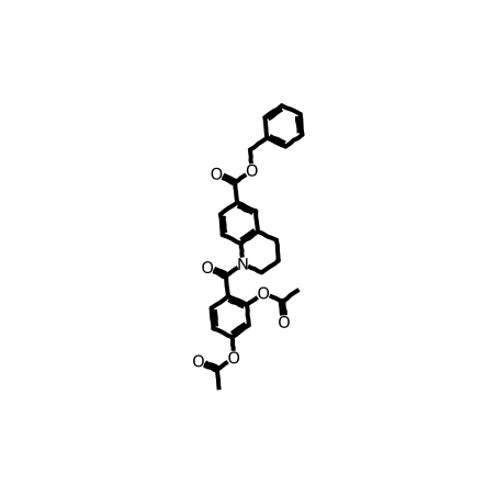 CC(=O)Oc1ccc(C(=O)N2CCCc3cc(C(=O)OCc4ccccc4)ccc32)c(OC(C)=O)c1